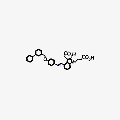 O=C(O)CCCn1cc(CC(=O)O)c2c(/C=C/c3ccc(OCc4cccc(-c5ccccc5)c4)cc3)cccc21